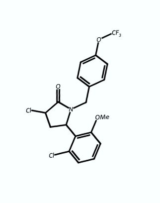 COc1cccc(Cl)c1C1CC(Cl)C(=O)N1Cc1ccc(OC(F)(F)F)cc1